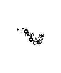 Cc1ccc(CNC(=O)c2cccc(C(C)Oc3cccnc3Nc3nncs3)c2)cc1